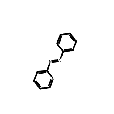 c1ccc(/N=N/c2ccccn2)cc1